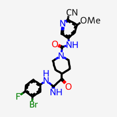 COc1cc(NC(=O)N2CCC(C(=O)C(=N)Nc3ccc(F)c(Br)c3)CC2)cnc1C#N